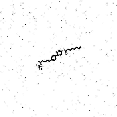 C=CCCCCCC(=O)Oc1cnc(-c2ccc(CCCCC(C)OC(=O)CC)cc2)nc1